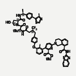 Cc1ncsc1-c1ccc([C@H](C)NC(=O)[C@@H]2C[C@@H](O)CN2C(=O)[C@@H](NC(=O)C[C@@H](Cc2ccc(Oc3cccc(-c4ccc(N5CCc6cccc(C(=O)Nc7nc8ccccc8s7)c6C5)nc4C(=O)OC(C)(C)C)c3C)cc2)C(F)(F)F)C(C)(C)C)cc1